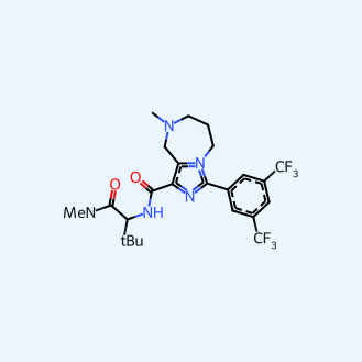 CNC(=O)C(NC(=O)c1nc(-c2cc(C(F)(F)F)cc(C(F)(F)F)c2)n2c1CN(C)CCC2)C(C)(C)C